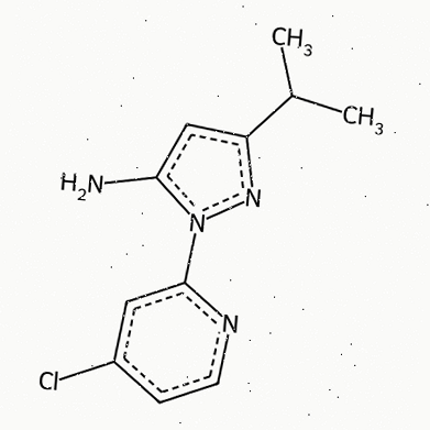 CC(C)c1cc(N)n(-c2cc(Cl)ccn2)n1